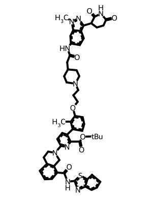 Cc1c(OCCCN2CCC(CC(=O)Nc3ccc4c(C5CCC(=O)NC5=O)nn(C)c4c3)CC2)cccc1-c1ccc(N2CCc3cccc(C(=O)Nc4nc5ccccc5s4)c3C2)nc1C(=O)OC(C)(C)C